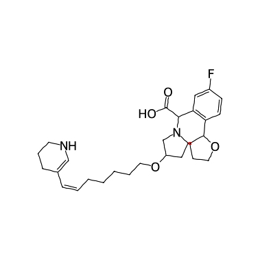 O=C(O)C(c1cc(F)ccc1C1CCCO1)N1CCC(OCCCCC/C=C\C2=CNCCC2)C1